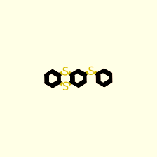 c1ccc(Sc2ccc3c(c2)Sc2ccccc2S3)cc1